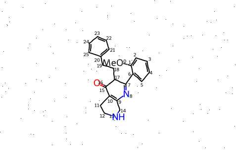 COc1ccccc1C1=NC2=C(CCNC2)C(=O)C1CCc1ccccc1